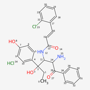 CCC(O)(c1ccc(O)cc1)C(NC(=O)C=Cc1ccccc1Cl)C(N)C(=O)c1ccccc1.Cl